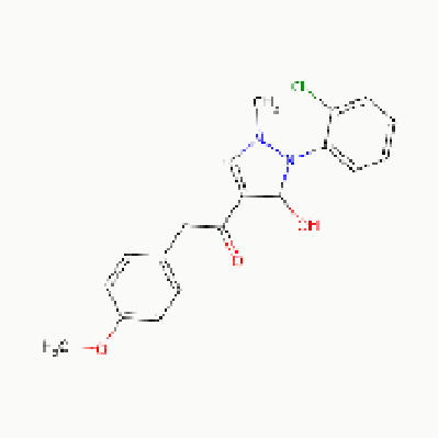 COc1ccc(CC(=O)C2=[C]N(C)N(c3ccccc3Cl)C2O)cc1